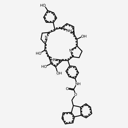 O=C(Nc1ccc(-c2c3nc(c(O)c4ccc([nH]4)c(-c4ccc(O)cc4)c4nc(c(O)c5[nH]c2c(O)c5O)CC4)CC3)cc1)OCC1c2ccccc2-c2ccccc21